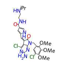 COc1c(Cl)cc(CN2C(=O)/C(=C\c3cc(C(=O)NCCNC(C)C)c[nH]3)c3c(Cl)nc(N)nc32)c(OC)c1OC